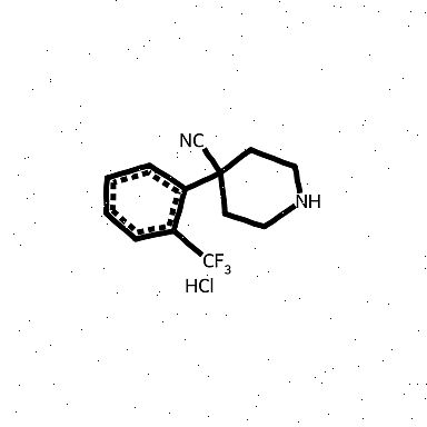 Cl.N#CC1(c2ccccc2C(F)(F)F)CCNCC1